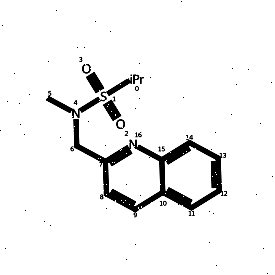 CC(C)S(=O)(=O)N(C)Cc1ccc2ccccc2n1